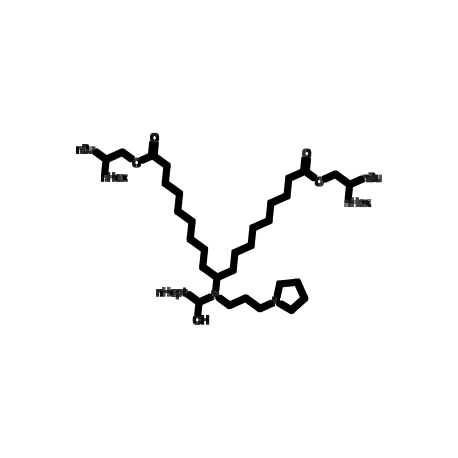 CCCCCCCC(O)N(CCCN1CCCC1)C(CCCCCCCCC(=O)OCC(CCCC)CCCCCC)CCCCCCCCC(=O)OCC(CCCC)CCCCCC